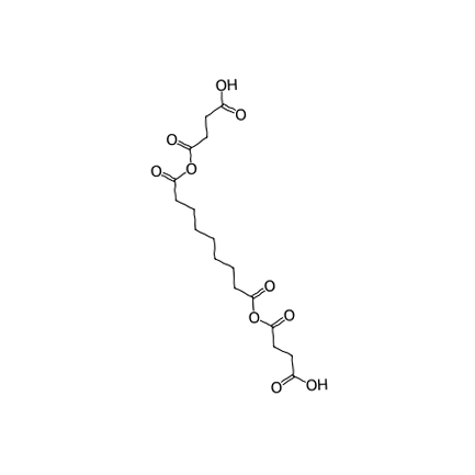 O=C(O)CCC(=O)OC(=O)CCCCCCCC(=O)OC(=O)CCC(=O)O